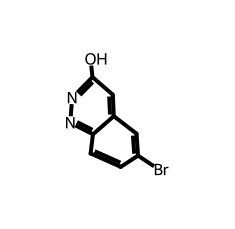 Oc1cc2cc(Br)ccc2nn1